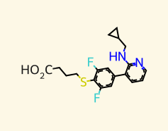 O=C(O)CCCSc1c(F)cc(-c2cccnc2NCC2CC2)cc1F